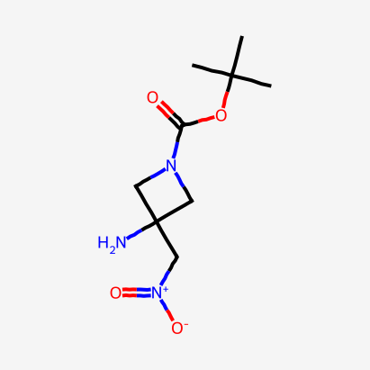 CC(C)(C)OC(=O)N1CC(N)(C[N+](=O)[O-])C1